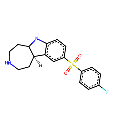 O=S(=O)(c1ccc(F)cc1)c1ccc2c(c1)[C@H]1CCNCCC1N2